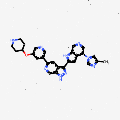 Cc1cn(-c2cncc3[nH]c(-c4n[nH]c5cnc(-c6cncc(OC7CCNCC7)c6)cc45)cc23)cn1